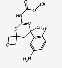 CC(C)(C)OC(=O)NC1=NC(C)(c2cc(N)ccc2F)CC2(COC2)S1